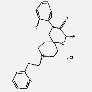 CC(C)C1OC2(CCN(CCc3ccccn3)CC2)CN(c2ccccc2F)C1=O.Cl